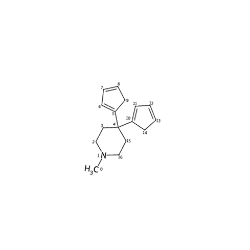 CN1CCC(C2=CC=CC2)(C2=CC=CC2)CC1